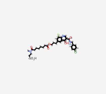 CN(CCS(=O)(=O)O)C(=O)CCCCCCC(=O)OCCCc1cc(F)c2ncc(C(=O)NCc3ccc(Cl)cc3)c(O)c2c1